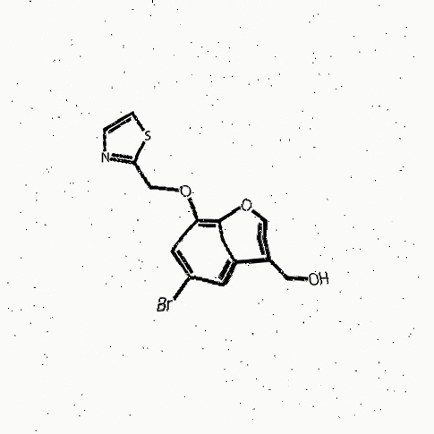 OCc1coc2c(OCc3nccs3)cc(Br)cc12